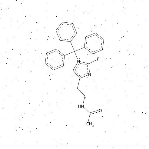 CC(=O)NCCc1cn(C(c2ccccc2)(c2ccccc2)c2ccccc2)c(F)n1